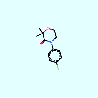 CC1(C)OCCN(c2ccc(F)cc2)C1=O